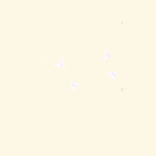 C=CCCCCN(C)C(=O)C1CC(Oc2cc(-c3nc(C(C)C)cs3)nc3c(Cl)c(OC)ccc23)CN1C(=O)OC(C)(C)C